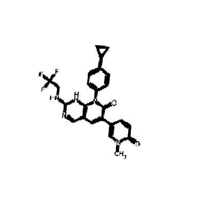 Cn1cc(-c2cc3c(n(-c4ccc(C5CC5)cc4)c2=O)NC(NCC(F)(F)F)N=C3)ccc1=O